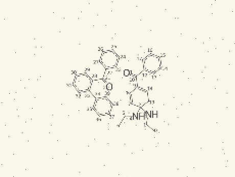 CCNC1(NCC)C=CC(C(=O)c2ccccc2)=CC1.O=C(c1ccccc1)c1ccccc1-c1ccccc1